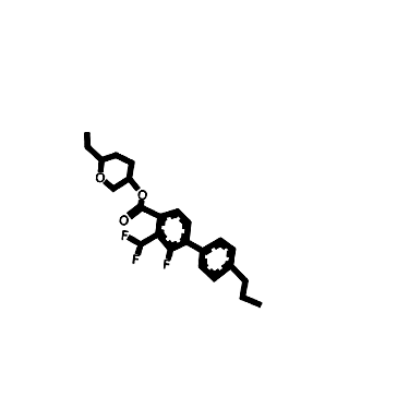 CCCc1ccc(-c2ccc(C(=O)OC3CCC(CC)OC3)c(C(F)F)c2F)cc1